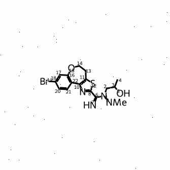 CNN(CC(C)O)C(=N)c1nc2c(s1)CCOc1cc(Br)ccc1-2